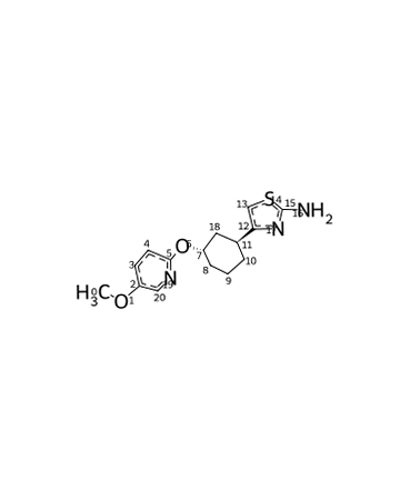 COc1ccc(O[C@H]2CCC[C@H](c3csc(N)n3)C2)nc1